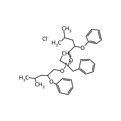 CC[N+](Cc1ccccc1)(OCC(CC(C)C)Oc1ccccc1)OCC(CC(C)C)Oc1ccccc1.[Cl-]